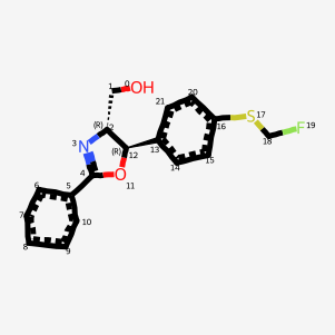 OC[C@H]1N=C(c2ccccc2)O[C@@H]1c1ccc(SCF)cc1